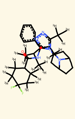 [2H]C([2H])([2H])c1nnc(C(C([2H])([2H])[2H])C([2H])([2H])[2H])n1C1CC2CCC(C1)N2C([2H])([2H])CC(NC(=O)C1C([2H])([2H])C([2H])([2H])C(F)(F)C([2H])([2H])C1([2H])[2H])c1ccccc1